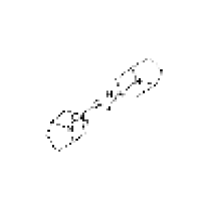 CN1C2CCC1CC(SSC1CC3CCC(C1)N3C)C2